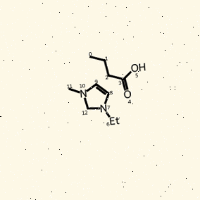 CCCC(=O)O.CCN1C=CN(C)C1